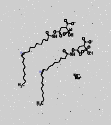 CCCCCCCC/C=C\CCCCCCCC(=O)NOC(=O)CC(C(=O)[O-])S(=O)(=O)O.CCCCCCCC/C=C\CCCCCCCC(=O)NOC(=O)CC(C(=O)[O-])S(=O)(=O)O.[Na+].[Na+]